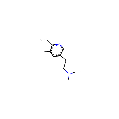 COc1ncc(CCN(C)C(=O)O)cc1C(F)(F)F